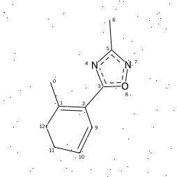 CC1=C(c2nc(C)no2)C=CCC1